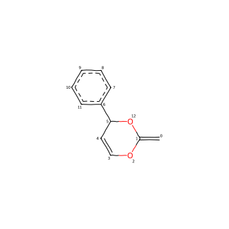 C=C1OC=CC(c2ccccc2)O1